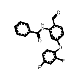 O=Cc1ccc(Oc2ccc(F)cc2F)cc1NC(=O)c1ccccc1